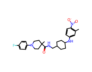 Cc1cc(NC2CCC(CNC(=O)C3(C)CCN(c4ccc(F)cc4)CC3)CC2)ccc1[N+](=O)[O-]